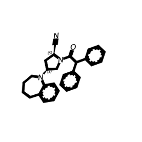 N#C[C@@H]1C[C@H](N2CCCCc3ccccc32)CN1C(=O)C(c1ccccc1)c1ccccc1